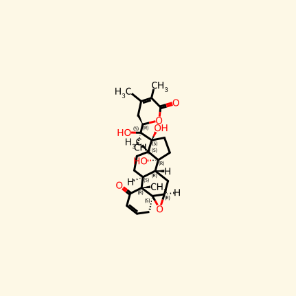 CC1=C(C)C(=O)O[C@@H]([C@](C)(O)[C@]2(O)CC[C@@]3(O)[C@@H]4C[C@H]5O[C@]56CC=CC(=O)[C@]6(C)[C@H]4CC[C@]23C)C1